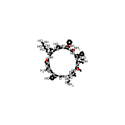 CCCC[C@H]1C(=O)N(C)[C@@H](CCCC)C(=O)N[C@@H](CC(C)C)C(=O)N[C@H](C(=O)NCC(N)=O)CSCC(=O)N[C@@H](Cc2ccc(O)cc2)C(=O)N(C)[C@@H](C)C(=O)N[C@@H](CC(N)=O)C(=O)N2CCC[C@H]2C(=O)N[C@@H](CNC[C@@H](O)[C@H](O)[C@@H](O)[C@@H](O)[C@H](O)CO)C(=O)N[C@@H](CC(C)C)C(=O)N2C[C@H](O)C[C@H]2C(=O)N[C@@H](Cc2c[nH]c3ccccc23)C(=O)N[C@@H](CCN)C(=O)N[C@@H](Cc2cn(CC(=O)O)c3ccccc23)C(=O)N1C